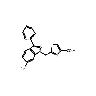 O=C(O)c1csc(Cn2nc(-c3ccccc3)c3ccc(C(F)(F)F)cc32)n1